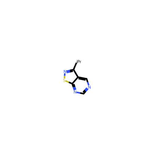 CC(C)c1nsc2ncncc12